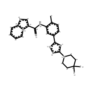 Cc1ccc(-c2nc(N3CCC(F)(F)CC3)no2)cc1NC(=O)c1cnc2ccccn12